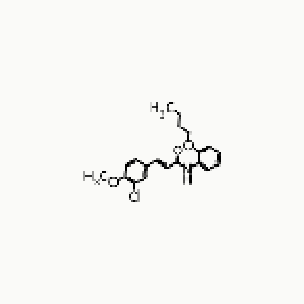 CCCCOc1ccccc1NC(=O)/C=C/c1ccc(OC)c(Cl)c1